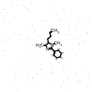 C=CCCC1C(C)N=C(C2=CCCCC2)N1C